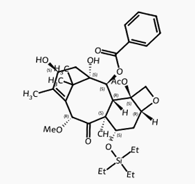 CC[Si](CC)(CC)O[C@H]1C[C@H]2OC[C@@]2(OC(C)=O)[C@H]2[C@H](OC(=O)c3ccccc3)[C@]3(O)C[C@H](O)C(C)=C([C@@H](OC)C(=O)[C@]12C)C3(C)C